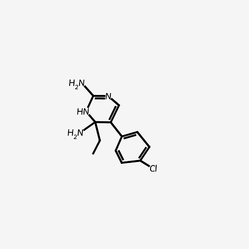 CCC1(N)NC(N)=NC=C1c1ccc(Cl)cc1